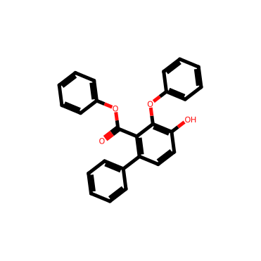 O=C(Oc1ccccc1)c1c(-c2ccccc2)ccc(O)c1Oc1ccccc1